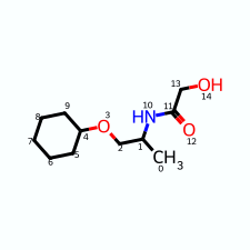 CC(COC1CCCCC1)NC(=O)CO